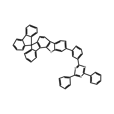 c1ccc(-c2nc(-c3ccccc3)nc(-c3cccc(-c4ccc5c(c4)oc4c6c(ccc45)C4(c5ccccc5-c5ccccc54)c4ccccc4-6)c3)n2)cc1